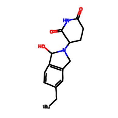 CC(C)(C)Cc1ccc2c(c1)CN(C1CCC(=O)NC1=O)C2O